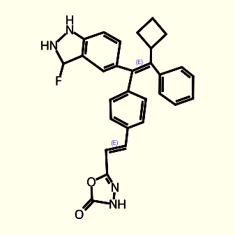 O=c1[nH]nc(/C=C/c2ccc(/C(=C(\c3ccccc3)C3CCC3)c3ccc4c(c3)C(F)NN4)cc2)o1